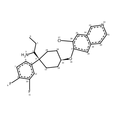 CCC(N)[C@]1(c2ccc(F)c(F)c2)CC[C@H](Oc2cc3ccncc3cc2Cl)CC1